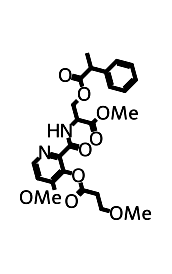 COCCC(=O)Oc1c(OC)ccnc1C(=O)NC(COC(=O)C(C)c1ccccc1)C(=O)OC